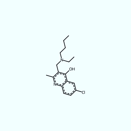 CCCCN(CC)Cc1c(C)nc2ccc(Cl)cc2c1O